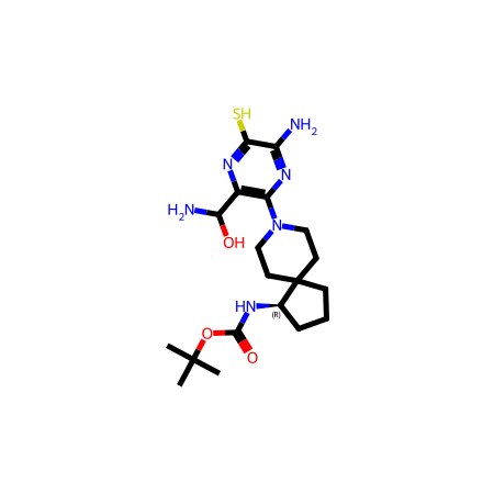 CC(C)(C)OC(=O)N[C@@H]1CCCC12CCN(c1nc(N)c(S)nc1C(N)O)CC2